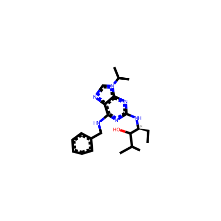 CC[C@H](Nc1nc(NCc2ccccc2)c2ncn(C(C)C)c2n1)C(O)C(C)C